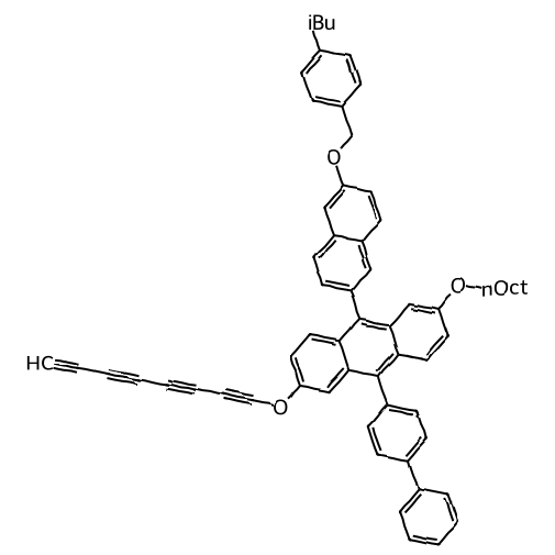 C#CC#CC#CC#COc1ccc2c(-c3ccc4cc(OCc5ccc(C(C)CC)cc5)ccc4c3)c3cc(OCCCCCCCC)ccc3c(-c3ccc(-c4ccccc4)cc3)c2c1